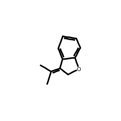 CC(C)=C1COc2ccccc21